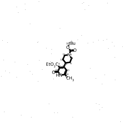 CCOC(=O)c1c(C2CCN(C(=O)OC(C)(C)C)CC2)cc(C)[nH]c1=O